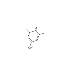 CC1=CC(O)=CC(C)N1